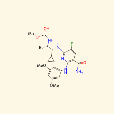 CC[C@H](N[C@@H](O)OC(C)(C)C)[C@H](Nc1nc(Nc2cc(OC)cc(OC)c2)c(C(N)=O)cc1F)C1CC1